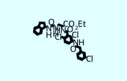 CCOC(=O)[C@H](CNC(=O)N[C@@H]1CCc2ccccc21)NC(=O)c1c(Cl)ccc(NC(=O)Cc2cccc(Cl)c2)c1Cl